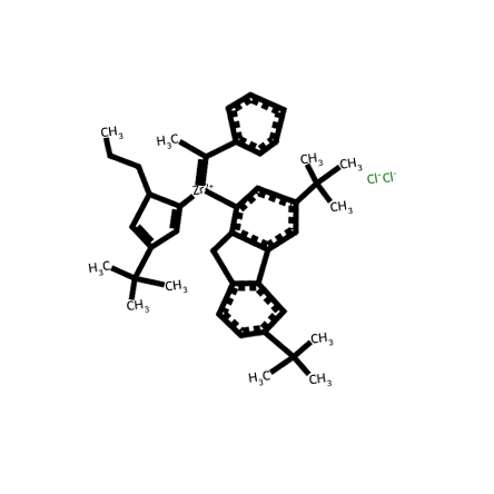 CCCC1C=C(C(C)(C)C)C=[C]1/[Zr+2](=[C](\C)c1ccccc1)[c]1cc(C(C)(C)C)cc2c1Cc1ccc(C(C)(C)C)cc1-2.[Cl-].[Cl-]